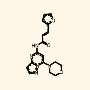 O=C(C=Cc1ccco1)Nc1cc(N2CCOCC2)n2nccc2n1